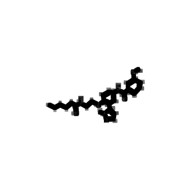 CCCCCC(=O)NCCOc1ccc(NC(=O)c2cccc(OC)c2)cc1-c1ccnn1C